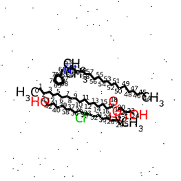 CCCCCCCCCCCCCCCCCC(=O)OCC(O)CO.CCCCCCCCCCCCCCCCCCO.CCCCCCCCCCCCCCCCCC[N+](C)(C)Cc1ccccc1.[Cl-]